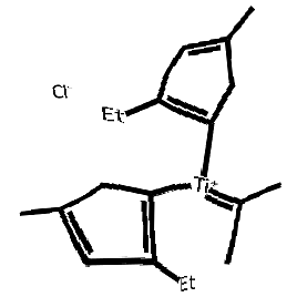 CCC1=[C]([Ti+]([C]2=C(CC)C=C(C)C2)=[C](C)C)CC(C)=C1.[Cl-]